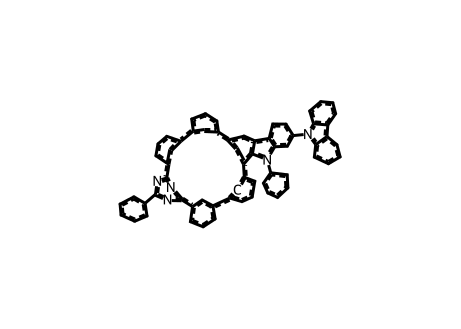 c1ccc(-c2nc3nc(n2)c2cccc(c2)c2cccc(c2)c2cc(cc4c5ccc(-n6c7ccccc7c7ccccc76)cc5n(-c5ccccc5)c24)c2cccc(c2)c2cccc3c2)cc1